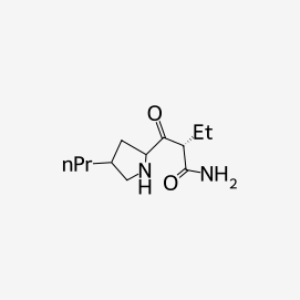 CCCC1CNC(C(=O)[C@H](CC)C(N)=O)C1